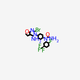 NC(=O)N(c1ccc(N2C(N)=c3ccoc3=NC2Br)cc1)c1cc(C(F)(F)F)ccc1F